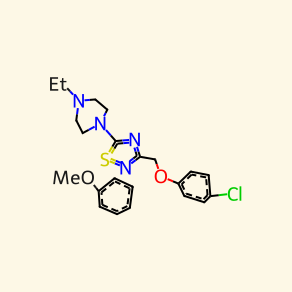 CCN1CCN(c2nc(COc3ccc(Cl)cc3)ns2)CC1.COc1ccccc1